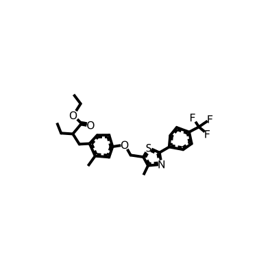 CCOC(=O)C(CC)Cc1ccc(OCc2sc(-c3ccc(C(F)(F)F)cc3)nc2C)cc1C